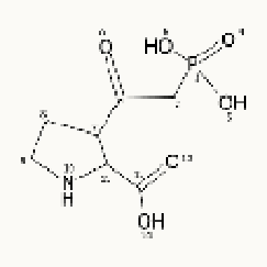 O=C(CP(=O)(O)O)C1CCNC1C(=O)O